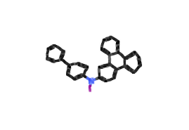 IN(c1ccc(-c2ccccc2)cc1)c1ccc2c3ccccc3c3ccccc3c2c1